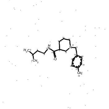 CC(C)CCNC(=O)C1CCCN(Cc2ccc(O)cc2)C1